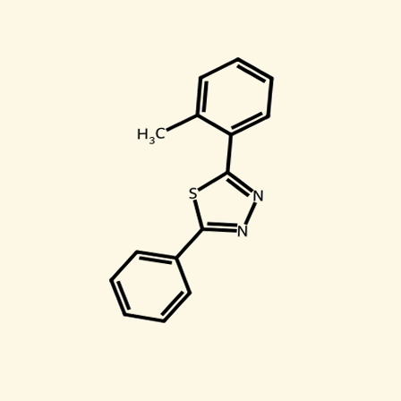 Cc1ccccc1-c1nnc(-c2ccccc2)s1